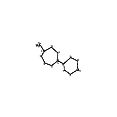 CN1CCCN(C2CCOCC2)CC1